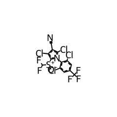 N#Cc1c(Cl)c([S+]([O-])C(F)F)n(-c2c(Cl)cc(C(F)(F)F)cc2Cl)c1Cl